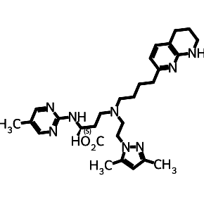 Cc1cnc(N[C@@H](CCN(CCCCc2ccc3c(n2)NCCC3)CCn2nc(C)cc2C)C(=O)O)nc1